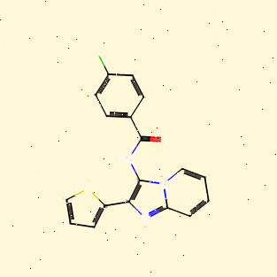 O=C(Nc1c(-c2cccs2)nc2ccccn12)c1ccc(Cl)cc1